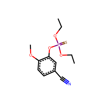 CCOP(=S)(OCC)Oc1cc(C#N)ccc1OC